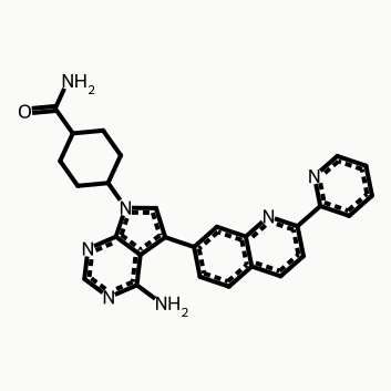 NC(=O)C1CCC(n2cc(-c3ccc4ccc(-c5ccccn5)nc4c3)c3c(N)ncnc32)CC1